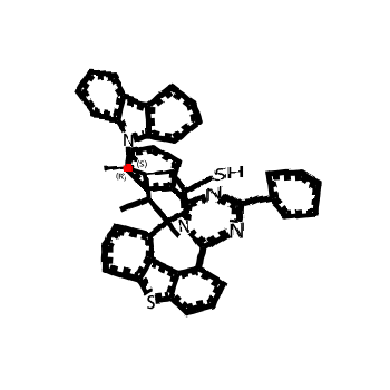 CC1[C@@H]([C@@H](C)n2c3ccccc3c3ccccc32)CC(S)=CC1(C)c1cccc2sc3cccc(-c4nc(-c5ccccc5)nc(-c5ccccc5)n4)c3c12